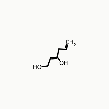 C=CCC(O)=CCO